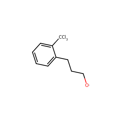 [O]CCCc1ccccc1C(Cl)(Cl)Cl